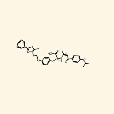 C/C(=C/C(=O)c1ccc(OC(C)C)cc1)N[C@@H](Cc1ccc(OCCc2nc(-c3ccccc3)oc2C)cc1)C(=O)O